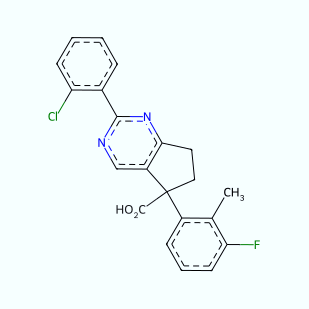 Cc1c(F)cccc1C1(C(=O)O)CCc2nc(-c3ccccc3Cl)ncc21